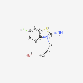 Br.C#CCn1c(=N)sc2cc(F)ccc21